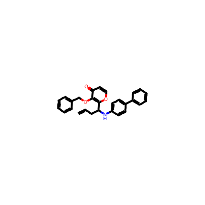 C=CCC(Nc1ccc(-c2ccccc2)cc1)c1occc(=O)c1OCc1ccccc1